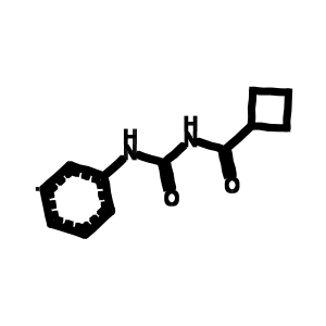 O=C(NC(=O)C1CCC1)Nc1c[c]ccc1